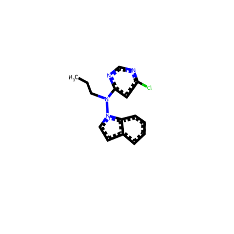 CCCN(c1cc(Cl)ncn1)n1ccc2ccccc21